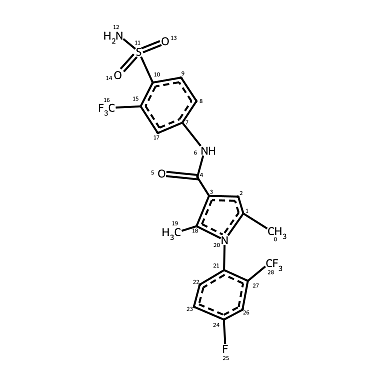 Cc1cc(C(=O)Nc2ccc(S(N)(=O)=O)c(C(F)(F)F)c2)c(C)n1-c1ccc(F)cc1C(F)(F)F